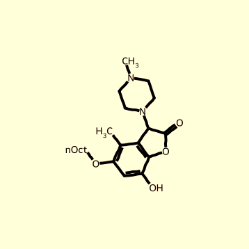 CCCCCCCCOc1cc(O)c2c(c1C)C(N1CCN(C)CC1)C(=O)O2